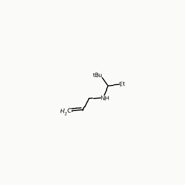 C=CCNC(CC)C(C)(C)C